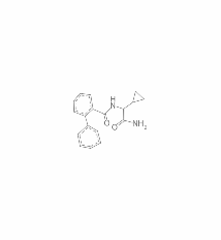 NC(=O)C(NC(=O)c1ccccc1-c1ccccc1)C1CC1